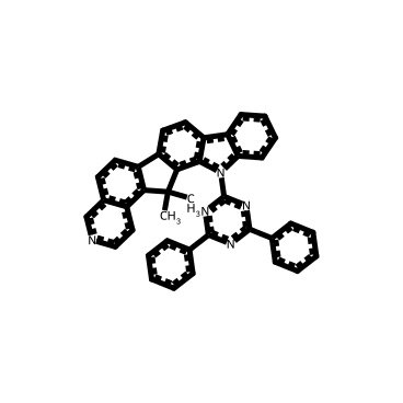 CC1(C)c2c(ccc3cnccc23)-c2ccc3c4ccccc4n(-c4nc(-c5ccccc5)nc(-c5ccccc5)n4)c3c21